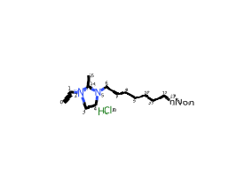 C=CN1CCN(CCCCCCCCCCCCCCCC)C1C.Cl